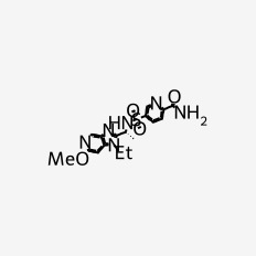 CCn1c([C@@H](C)NS(=O)(=O)c2ccc(C(N)=O)nc2)nc2cnc(OC)cc21